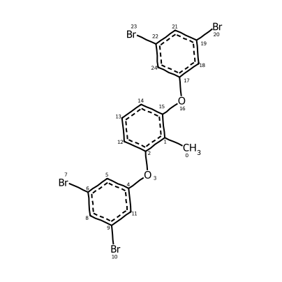 Cc1c(Oc2cc(Br)cc(Br)c2)cccc1Oc1cc(Br)cc(Br)c1